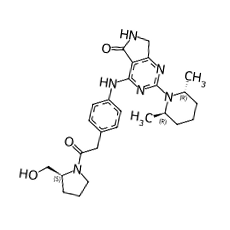 C[C@@H]1CCC[C@@H](C)N1c1nc2c(c(Nc3ccc(CC(=O)N4CCC[C@H]4CO)cc3)n1)C(=O)NC2